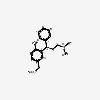 COCc1ccc(O)c([C@H](CCN(C(C)C)C(C)C)c2ccccc2)c1